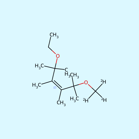 [2H]C([2H])([2H])OC(C)(C)/C(C)=C(/C)C(C)(C)OCC